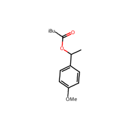 CCC(C)C(=O)OC(C)c1ccc(OC)cc1